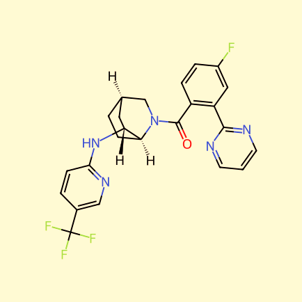 O=C(c1ccc(F)cc1-c1ncccn1)N1C[C@@H]2CC[C@H]1[C@H](Nc1ccc(C(F)(F)F)cn1)C2